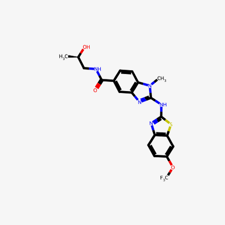 C[C@@H](O)CNC(=O)c1ccc2c(c1)nc(Nc1nc3ccc(OC(F)(F)F)cc3s1)n2C